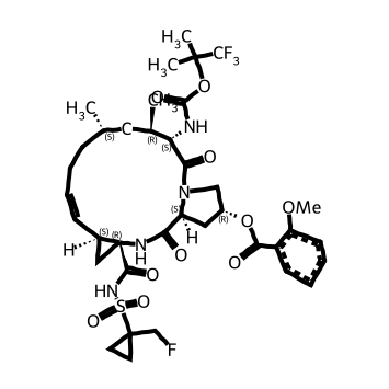 COc1ccccc1C(=O)O[C@@H]1C[C@H]2C(=O)N[C@]3(C(=O)NS(=O)(=O)C4(CF)CC4)C[C@H]3C=CCC[C@H](C)C[C@@H](C)[C@H](NC(=O)OC(C)(C)C(F)(F)F)C(=O)N2C1